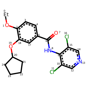 CCOc1ccc(C(=O)Nc2c(Cl)cncc2Cl)cc1OC1CCCC1